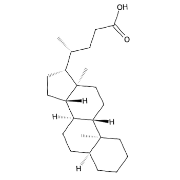 C[C@H](CCC(=O)O)[C@H]1CC[C@H]2[C@@H]3CC[C@@H]4CCCC[C@]4(C)[C@H]3CC[C@]12C